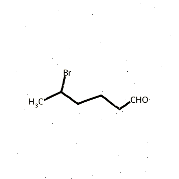 CC(Br)CCC[C]=O